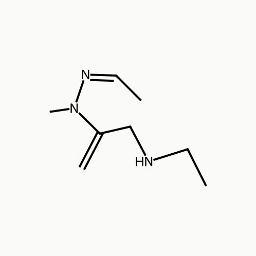 C=C(CNCC)N(C)/N=C\C